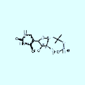 CC(C)(C[C@H]1OC(c2c[nH]c(=O)[nH]c2=O)[C@H](O)[C@@H]1O)O[PH](=O)O